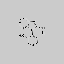 CCNc1nc2cccnc2n1-c1ccccc1C